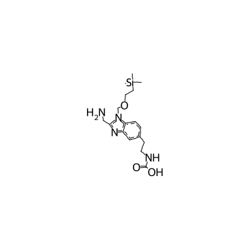 C[Si](C)(C)CCOCn1c(CN)nc2cc(CCNC(=O)O)ccc21